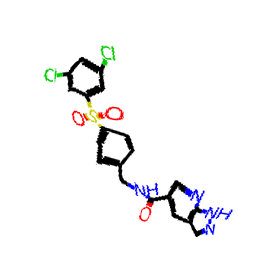 O=C(NCc1ccc(S(=O)(=O)c2cc(Cl)cc(Cl)c2)cc1)c1cnc2[nH]ncc2c1